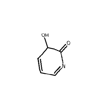 O=C1N=CC=CC1O